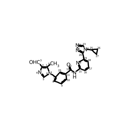 Cc1c(C=O)ncn1-c1cccc(C(=O)Nc2cccc(-c3nncn3C3CC3)n2)c1